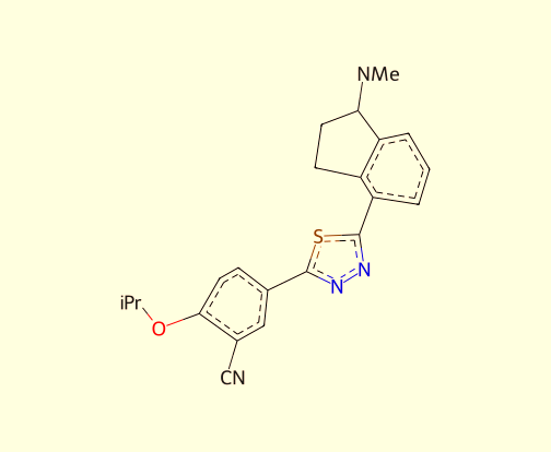 CNC1CCc2c(-c3nnc(-c4ccc(OC(C)C)c(C#N)c4)s3)cccc21